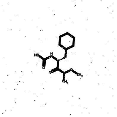 CON(C)C(=O)[C@@H](CC1CCCCC1)NC(=O)O